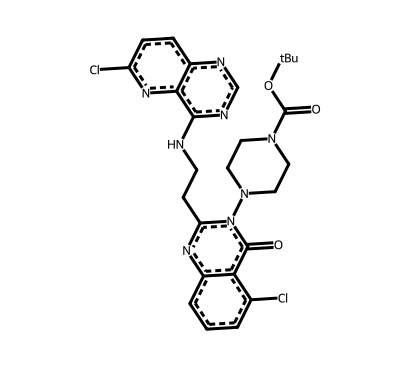 CC(C)(C)OC(=O)N1CCN(n2c(CCNc3ncnc4ccc(Cl)nc34)nc3cccc(Cl)c3c2=O)CC1